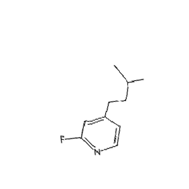 CC(C)CCc1ccnc(F)c1